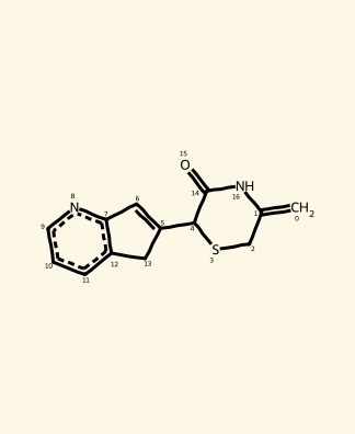 C=C1CSC(C2=Cc3ncccc3C2)C(=O)N1